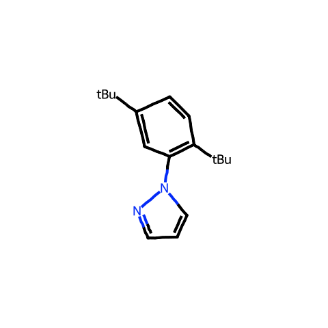 CC(C)(C)c1ccc(C(C)(C)C)c(-n2cccn2)c1